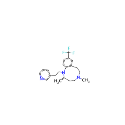 C=C1CCN(C)CCc2cc(C(F)(F)F)ccc2N1CCc1cccnc1